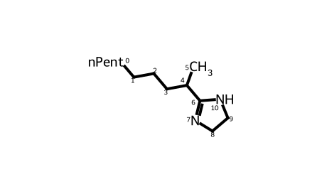 CCCCCCCCC(C)C1=NCCN1